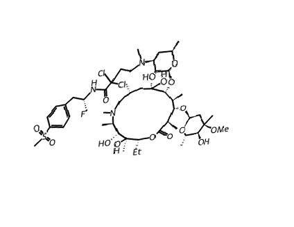 CC[C@H]1OC(=O)[C@H](C)[C@@H](O[C@H]2C[C@@](C)(OC)[C@@H](O)[C@H](C)O2)[C@H](C)[C@@H](O[C@@H]2O[C@H](C)C[C@H](N(C)CCC(Cl)(Cl)C(=O)N[C@H](CF)Cc3ccc(S(C)(=O)=O)cc3)[C@H]2O)[C@](C)(O)C[C@@H](C)CN(C)[C@H](C)[C@@H](O)[C@]1(C)O